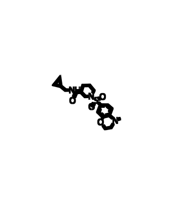 CN1CCOc2cc(S(=O)(=O)N3CCCC(C(=O)NCC4CC4)C3)ccc21